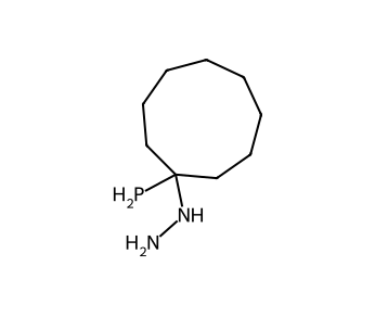 NNC1(P)CCCCCCCC1